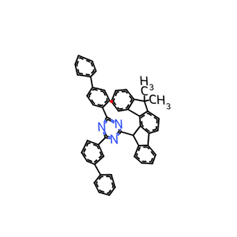 CC1(C)c2ccccc2-c2c1ccc1c2C(c2nc(-c3ccc(-c4ccccc4)cc3)nc(-c3cccc(-c4ccccc4)c3)n2)c2ccccc2-1